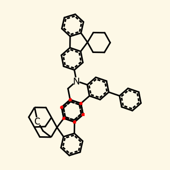 c1ccc(-c2ccc(N(Cc3ccc4c(c3)C3(c5ccccc5-4)C4CCC5CC(C4)CC3C5)c3ccc4c(c3)C3(CCCCC3)c3ccccc3-4)c(-c3ccccc3)c2)cc1